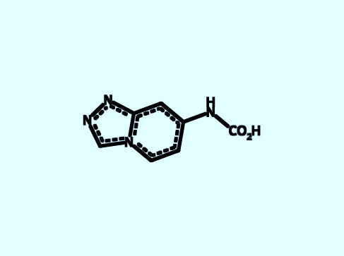 O=C(O)Nc1ccn2cnnc2c1